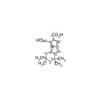 C#Cc1c(C(=O)O)nc2sc3c(n12)CC(C)(C)CC3(C)C